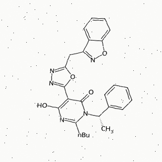 CCCCc1nc(O)c(-c2nnc(Cc3noc4ccccc34)o2)c(=O)n1[C@@H](C)c1ccccc1